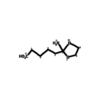 NC1(CCCCC(=O)O)OCCO1